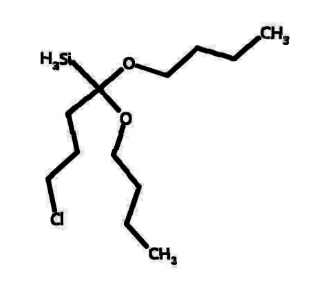 CCCCOC([SiH3])(CCCCl)OCCCC